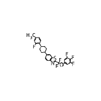 Cc1ccc(C2CCC(c3ccc4nc(C(F)(F)Oc5cc(F)c(F)c(F)c5)sc4c3)CC2)c(F)c1